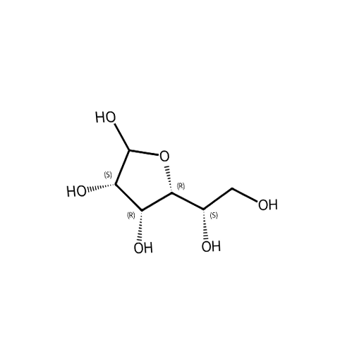 OC[C@H](O)[C@H]1OC(O)[C@@H](O)[C@H]1O